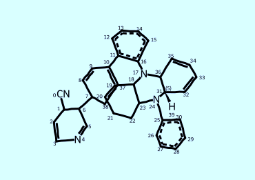 N#CC1C=CN=CC1C1C=CC(c2ccccc2N2C3C=CCCC3N(c3ccccc3)[C@H]3C=CC=CC32)=CC1